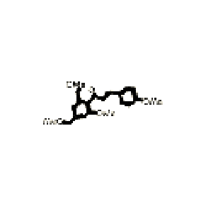 COCc1cc(COC)c(C(=O)/C=C/c2ccc(OC)cc2)c(OC)c1